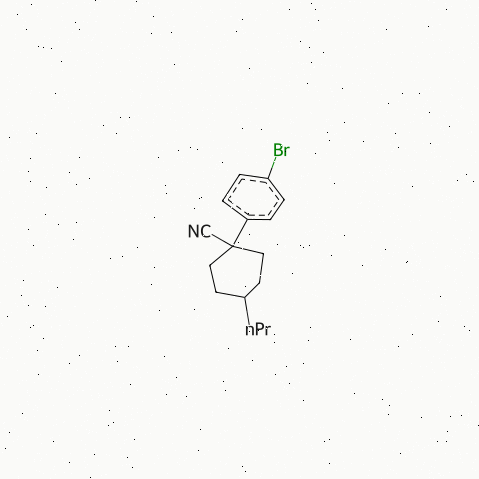 CCCC1CCC(C#N)(c2ccc(Br)cc2)CC1